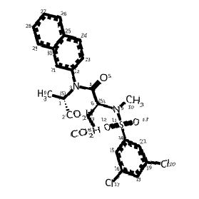 C[C@@H](C(=O)O)N(C(=O)[C@H](CC(=O)O)N(C)S(=O)(=O)c1cc(Cl)cc(Cl)c1)c1ccc2ccccc2c1